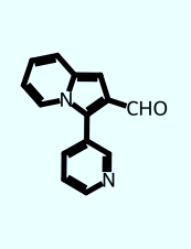 O=Cc1cc2ccccn2c1-c1cccnc1